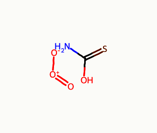 NC(O)=S.O=[O+][O-]